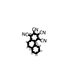 N#Cc1c(C#N)c(C#N)c2c(ccc3ccccc32)c1C#N